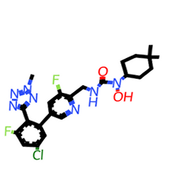 Cn1nnc(-c2c(F)cc(Cl)cc2-c2cnc(CNC(=O)N(O)C3CCC(C)(C)CC3)c(F)c2)n1